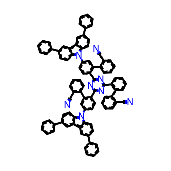 N#Cc1ccccc1-c1ccccc1-c1nc(-c2ccc(-n3c4ccc(-c5ccccc5)cc4c4cc(-c5ccccc5)ccc43)cc2-c2ccccc2C#N)nc(-c2ccc(-n3c4ccc(-c5ccccc5)cc4c4cc(-c5ccccc5)ccc43)cc2-c2ccccc2C#N)n1